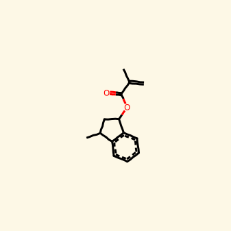 C=C(C)C(=O)OC1CC(C)c2ccccc21